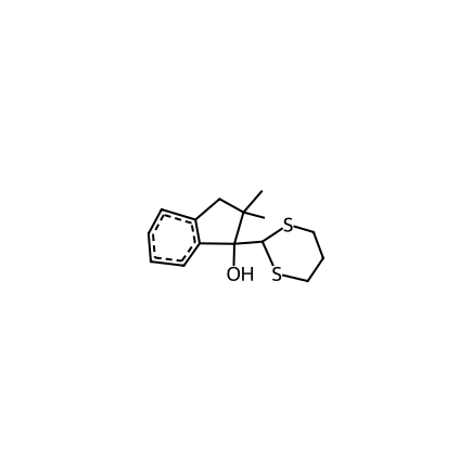 CC1(C)Cc2ccccc2C1(O)C1SCCCS1